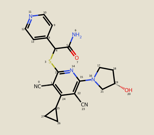 N#Cc1c(SC(C(N)=O)c2ccncc2)nc(N2CC[C@H](O)C2)c(C#N)c1C1CC1